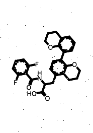 O=C(NC(Cc1ccc(-c2cccc3c2OCCC3)c2c1CCCO2)C(=O)O)c1c(F)cccc1F